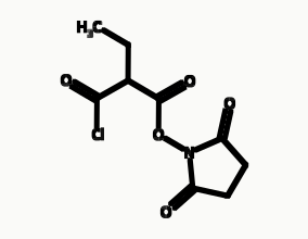 CCC(C(=O)Cl)C(=O)ON1C(=O)CCC1=O